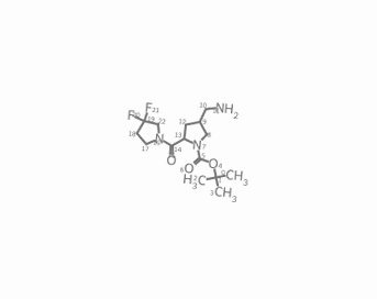 CC(C)(C)OC(=O)N1CC(CN)CC1C(=O)N1CCC(F)(F)C1